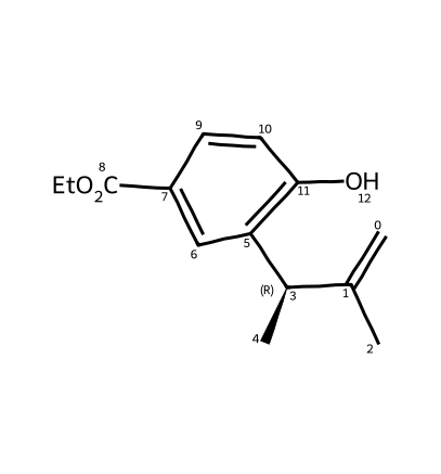 C=C(C)[C@@H](C)c1cc(C(=O)OCC)ccc1O